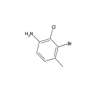 Cc1ccc(N)c(Cl)c1Br